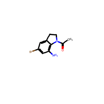 CC(=O)N1CCc2cc(Br)cc(N)c21